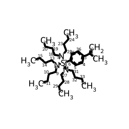 C=C(C)c1ccc([Si](N(CCCC)CCCC)(N(CCCC)CCCC)N(CCCC)CCCC)cc1